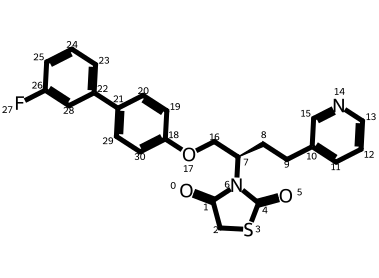 O=C1CSC(=O)N1[C@H](CCc1cccnc1)COc1ccc(-c2cccc(F)c2)cc1